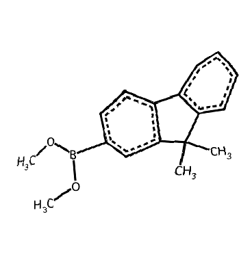 COB(OC)c1ccc2c(c1)C(C)(C)c1ccccc1-2